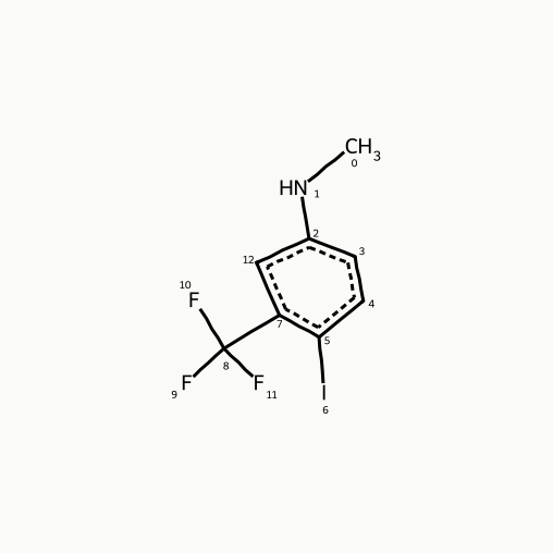 CNc1ccc(I)c(C(F)(F)F)c1